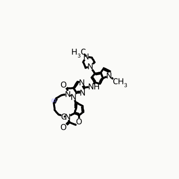 CN1CCN(c2cc(Nc3ncc4c(=O)n5n(c4n3)-c3ccc4c(c3)N(CCC/C=C\C5)C(=O)CO4)cc3c2ccn3C)CC1